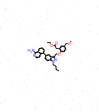 CCCCn1nc(COc2ccc(COC)cc2CC(=O)OCC)c2cc(-c3cccc4c(N)nccc34)ccc21